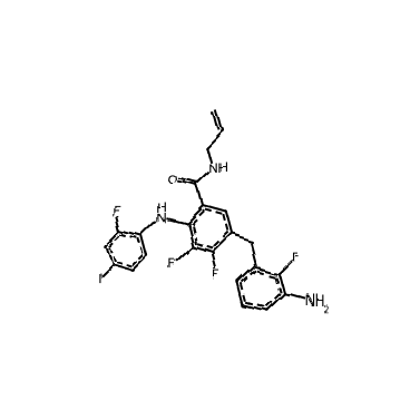 C=CCNC(=O)c1cc(Cc2cccc(N)c2F)c(F)c(F)c1Nc1ccc(I)cc1F